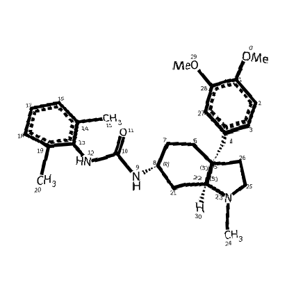 COc1ccc([C@@]23CC[C@@H](NC(=O)Nc4c(C)cccc4C)C[C@@H]2N(C)CC3)cc1OC